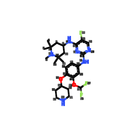 CN1C(C)(C)CC(Nc2nc(Nc3ccc(OC4CCNCC4)c(OC(F)F)c3)ncc2F)CC1(C)C